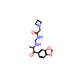 CC(NCNC(=O)CN1CCC1)C(=O)c1ccc2c(c1)OCO2